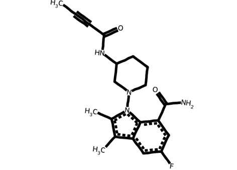 CC#CC(=O)NC1CCCN(n2c(C)c(C)c3cc(F)cc(C(N)=O)c32)C1